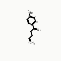 C=CCCC(=O)c1ccc(C(C)(C)C)cc1